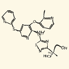 Cc1ncccc1Oc1cc(Sc2ccccn2)cnc1Nc1nc([C@@](C)(O)CO)ns1